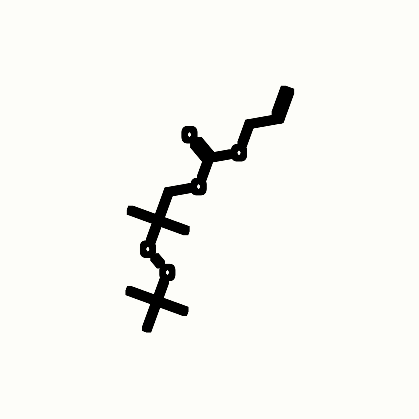 C=CCOC(=O)OCC(C)(C)OOC(C)(C)C